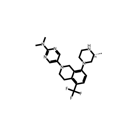 C[C@@H]1CN(c2ccc(C(F)(F)F)c3c2CN(c2cnc(N(C)C)nc2)CC3)CCN1